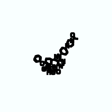 CC(=O)N1CCN(C2CCC(n3nc(-c4ccc(Oc5ccccc5)c([N+](=O)[O-])c4)c4c(NC(=O)O)ncnc43)CC2)CC1